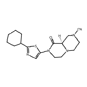 N#CN1CCN2CCN(c3cnc(C4CCCCC4)s3)C(=O)[C@H]2C1